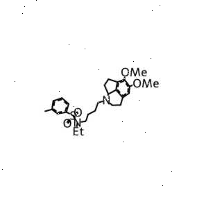 CCN(CCCCN1CCc2cc(OC)c(OC)c3c2C1CC3)S(=O)(=O)c1cccc(C)c1